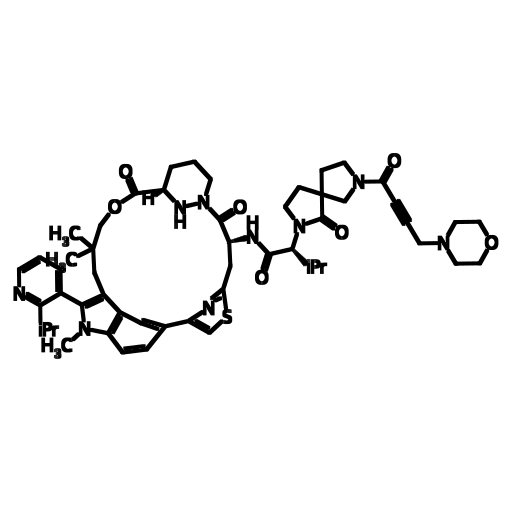 CC(C)c1ncccc1-c1c2c3cc(ccc3n1C)-c1csc(n1)C[C@H](NC(=O)[C@H](C(C)C)N1CCC3(CCN(C(=O)C#CCN4CCOCC4)C3)C1=O)C(=O)N1CCC[C@H](N1)C(=O)OCC(C)(C)C2